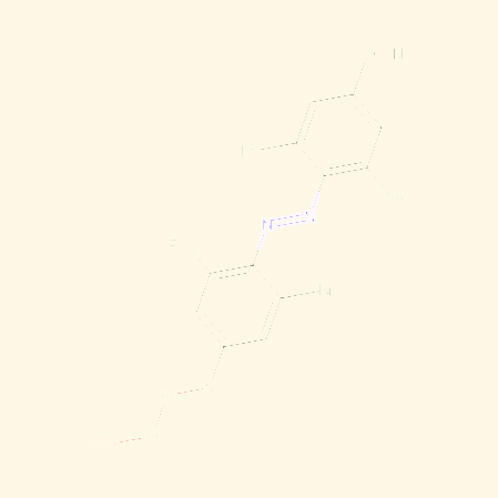 O=S(=O)(O)c1cc(Br)c(N=Nc2c(Br)cc(SOOO)cc2Br)c(Br)c1